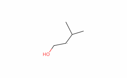 CC(C)[CH]CO